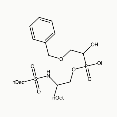 CCCCCCCCCCS(=O)(=O)NC(CCCCCCCC)COP(=O)(O)C(O)COCc1ccccc1